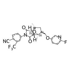 C[C@]12O[C@](C)(C[C@H]1COc1ccc(F)nc1)[C@H]1C(=O)N(c3ccc(C#N)c(C(F)(F)F)c3)C(=O)[C@H]12